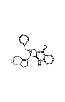 O=c1c2c([nH]c3ccccc13)C(C1=C3C=COC=C3CC1)N(Cc1ccccc1)C2